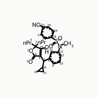 CCCC1(CCC)OC(=O)C(C(c2cccc(N(C)S(=O)(=O)c3ccc(C#N)cc3)c2)C2CC2)=C1O